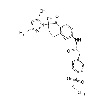 CCS(=O)(=O)c1ccc(CC(=O)Nc2ccc3c(n2)CCC(C)(n2nc(C)cc2C)C3=O)cc1